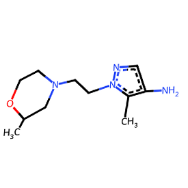 Cc1c(N)cnn1CCN1CCOC(C)C1